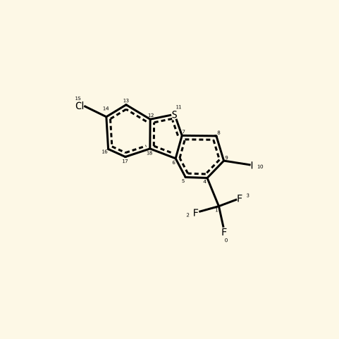 FC(F)(F)c1cc2c(cc1I)sc1cc(Cl)ccc12